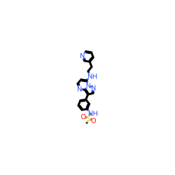 CS(=O)(=O)Nc1cccc(-c2cnn3c(NCCc4cccnc4)ccnc23)c1